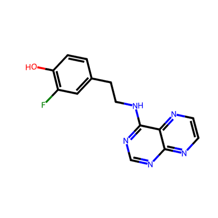 Oc1ccc(CCNc2ncnc3nccnc23)cc1F